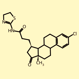 C[C@]12CCC3c4ccc(Cl)cc4CCC3C1[C@H](CCC(=O)NC1=NCCS1)CC2=O